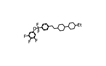 CCC1CCC(C2CCC(CCc3ccc(C(F)(F)Oc4cc(F)c(F)c(F)c4)cc3)CC2)CC1